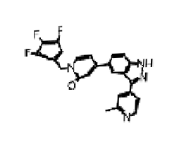 Cc1cc(-c2n[nH]c3ccc(-c4ccn(Cc5cc(F)c(F)c(F)c5)c(=O)c4)cc23)ccn1